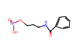 O=C(NCCCO[PH](=O)O)c1ccccc1